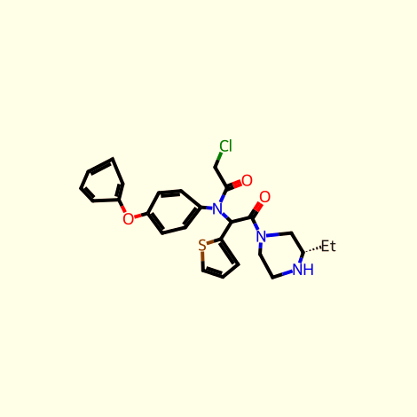 CC[C@H]1CN(C(=O)C(c2cccs2)N(C(=O)CCl)c2ccc(Oc3ccccc3)cc2)CCN1